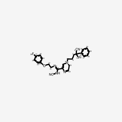 CC(C)C(C#N)(CCCN1C=C(C(=NCCOc2ccc(F)cc2)NC#N)N=CC1)c1ccccc1